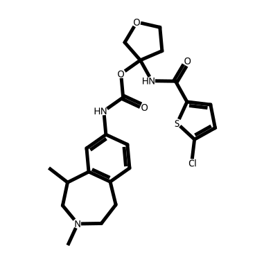 CC1CN(C)CCc2ccc(NC(=O)OC3(NC(=O)c4ccc(Cl)s4)CCOC3)cc21